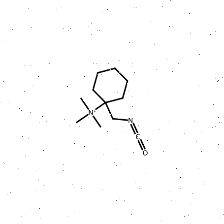 C[N+](C)(C)C1(CN=C=O)CCCCC1